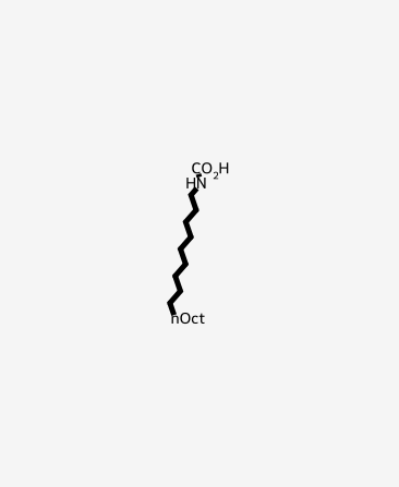 CCCCCCCCCCCCCCCCCNC(=O)O